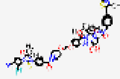 Cc1ncsc1-c1ccc(CNC(=O)[C@@H]2C[C@@H](O)CN2C(=O)[C@@H](NC(=O)c2ccc(OCCOC3CCN(C(=O)c4ccc(N5C(=S)N(c6ccc(C#N)c(C(F)(F)F)c6)C(=O)C5(C)C)cc4)CC3)cc2)C(C)(C)C)cc1